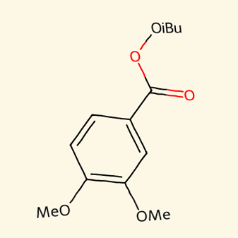 COc1ccc(C(=O)OO[CH]C(C)C)cc1OC